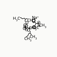 CCCCC(CC)COC(=O)CC(C(=O)OCC(CC)CCCC)S(=O)(=O)[O-].CN(C)C(=O)C(c1ccccc1)c1ccccc1.[Na+]